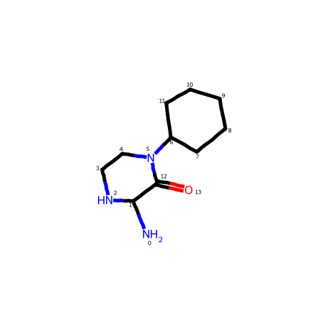 NC1NCCN(C2CCCCC2)C1=O